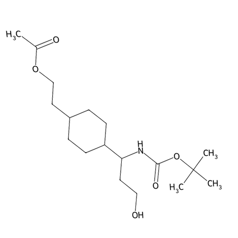 CC(=O)OCCC1CCC(C(CCO)NC(=O)OC(C)(C)C)CC1